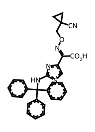 N#CC1(CON=C(C(=O)O)c2csc(NC(c3ccccc3)(c3ccccc3)c3ccccc3)n2)CC1